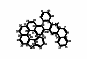 c1ccc(-c2nc3ccc4ccccc4c3nc2-c2ccc3c(ccc4ccc5ccc6sc7ccccc7c6c5c43)c2)cc1